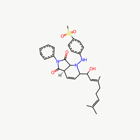 CC(C)=CCC/C(C)=C/C(O)C1C=C[C@H]2C(=O)N(c3ccccc3)C(=O)C2N1Nc1ccc(S(C)(=O)=O)cc1